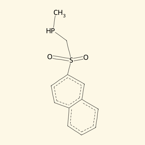 CPCS(=O)(=O)c1ccc2ccccc2c1